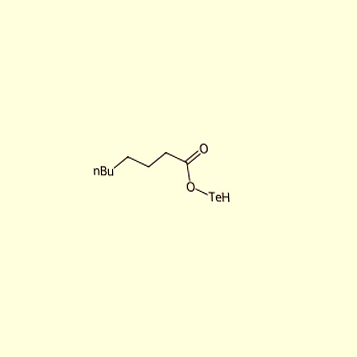 CCCCCCCC(=O)O[TeH]